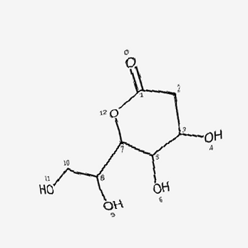 O=C1CC(O)C(O)C(C(O)CO)O1